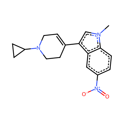 Cn1cc(C2=CCN(C3CC3)CC2)c2cc([N+](=O)[O-])ccc21